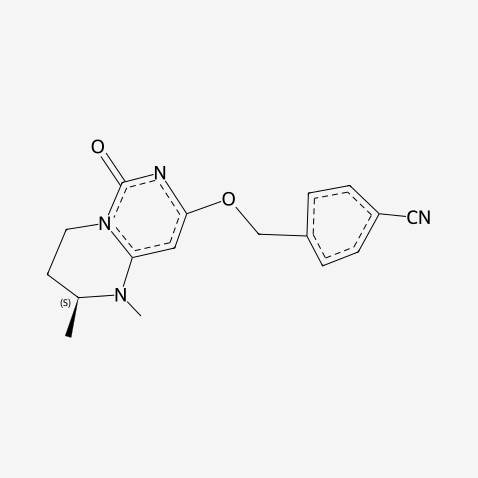 C[C@H]1CCn2c(cc(OCc3ccc(C#N)cc3)nc2=O)N1C